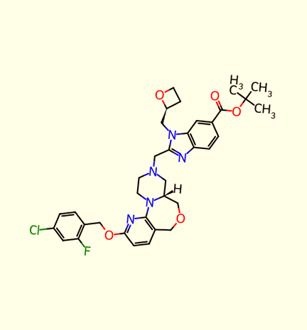 CC(C)(C)OC(=O)c1ccc2nc(CN3CCN4c5nc(OCc6ccc(Cl)cc6F)ccc5COC[C@H]4C3)n(C[C@@H]3CCO3)c2c1